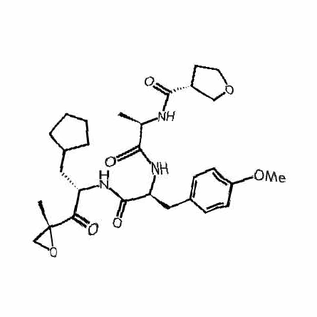 COc1ccc(C[C@H](NC(=O)[C@@H](C)NC(=O)[C@@H]2CCOC2)C(=O)N[C@@H](CC2CCCC2)C(=O)[C@@]2(C)CO2)cc1